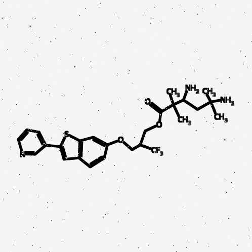 CC(C)(N)CC(N)C(C)(C)C(=O)OCC(COc1ccc2cc(-c3cccnc3)sc2c1)C(F)(F)F